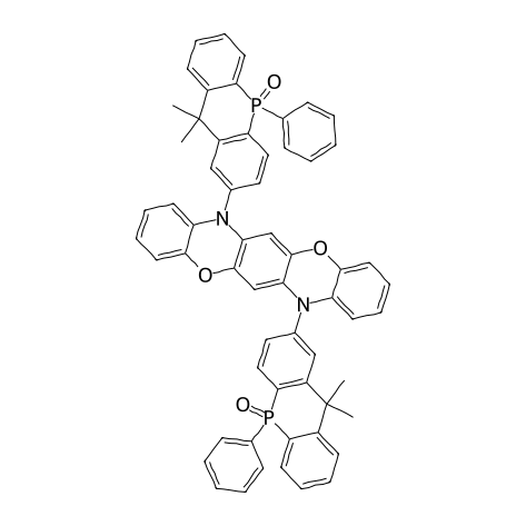 CC1(C)c2ccccc2P(=O)(c2ccccc2)c2ccc(-n3c4ccccc4oc4cc5c(cc43)oc3ccccc3n5-c3ccc4c(c3)C(C)(C)c3ccccc3P4(=O)c3ccccc3)cc21